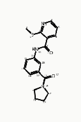 CSc1ncccc1C(=O)Nc1cccc(C(=O)N2CCCC2)c1